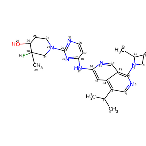 CC(C)c1cnc(N2CC(F)C2C)c2cnc(Nc3ccnc(N4CCC(O)C(C)(F)C4)n3)cc12